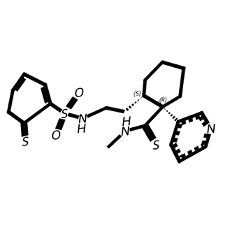 CNC(=S)[C@]1(c2cccnc2)CCCC[C@H]1CCNS(=O)(=O)C1=CC=CCC1=S